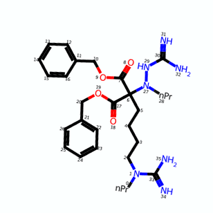 CCCN(CCCCC(C(=O)OCc1ccccc1)(C(=O)OCc1ccccc1)N(CCC)NC(=N)N)C(=N)N